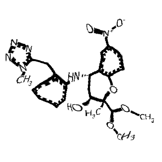 COC(OC)[C@@]1(C)Oc2ccc([N+](=O)[O-])cc2[C@@H](Nc2ccccc2Cc2nnnn2C)[C@@H]1O